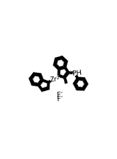 CC1=C(Pc2ccccc2)c2ccccc2[CH]1[Zr+2][CH]1C=Cc2ccccc21.[F-].[F-]